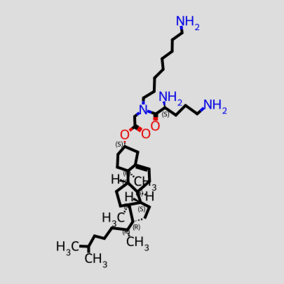 CC(C)CCC[C@@H](C)[C@H]1CC[C@H]2[C@@H]3CC=C4C[C@@H](OC(=O)CN(CCCCCCCCN)C(=O)[C@@H](N)CCCN)CC[C@]4(C)[C@H]3CC[C@]12C